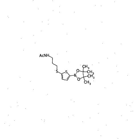 CC(=O)NCCCSc1ccc(B2OC(C)(C)C(C)(C)O2)s1